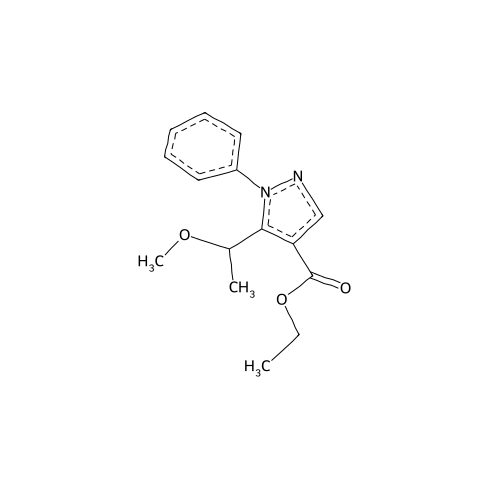 CCOC(=O)c1cnn(-c2ccccc2)c1C(C)OC